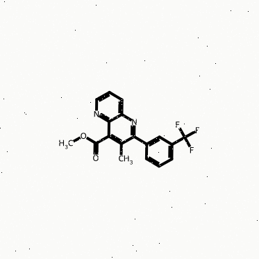 COC(=O)c1c(C)c(-c2cccc(C(F)(F)F)c2)nc2cccnc12